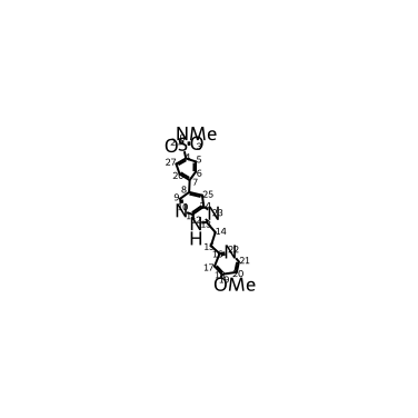 CNS(=O)(=O)c1ccc(-c2cnc3[nH]c(CCc4cc(OC)ccn4)nc3c2)cc1